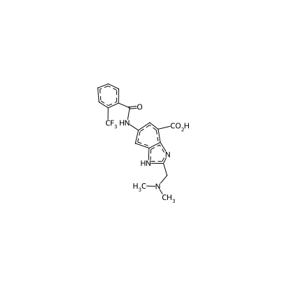 CN(C)Cc1nc2c(C(=O)O)cc(NC(=O)c3ccccc3C(F)(F)F)cc2[nH]1